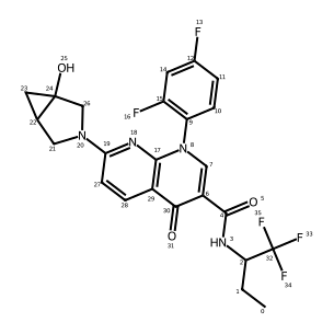 CCC(NC(=O)c1cn(-c2ccc(F)cc2F)c2nc(N3CC4CC4(O)C3)ccc2c1=O)C(F)(F)F